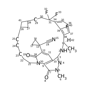 C[C@H]1Nc2nn(C)c(=O)c3c2cc(C2(C#N)CC2)c(=O)n3CCCCCC2CC(CCC(F)(F)c3cccc1c3F)C2